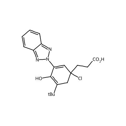 CC(C)(C)C1=C(O)C(n2nc3ccccc3n2)=CC(Cl)(CCC(=O)O)C1